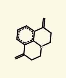 C=C1CCN2CCC(=C)c3cccc1c32